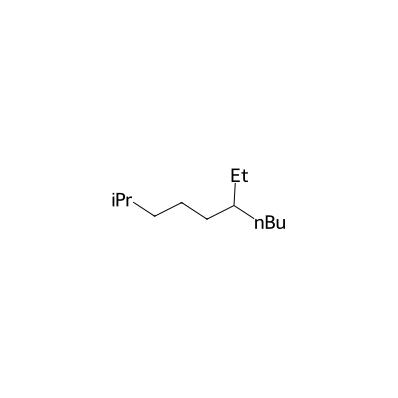 [CH2]CCCC(CC)CCCC([CH2])C